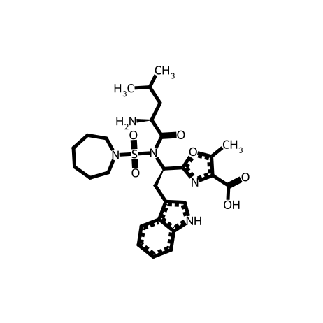 Cc1oc([C@@H](Cc2c[nH]c3ccccc23)N(C(=O)[C@@H](N)CC(C)C)S(=O)(=O)N2CCCCCC2)nc1C(=O)O